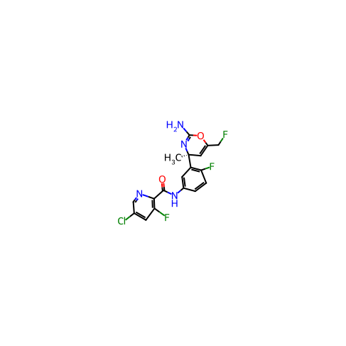 C[C@@]1(c2cc(NC(=O)c3ncc(Cl)cc3F)ccc2F)C=C(CF)OC(N)=N1